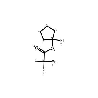 CCC1(OC(=O)C(C)(F)CC)CCCC1